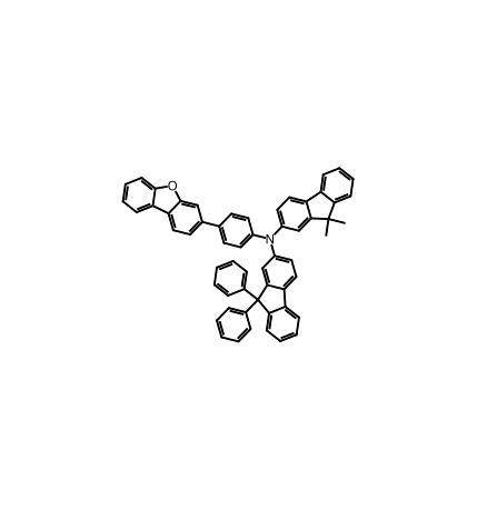 CC1(C)c2ccccc2-c2ccc(N(c3ccc(-c4ccc5c(c4)oc4ccccc45)cc3)c3ccc4c(c3)C(c3ccccc3)(c3ccccc3)c3ccccc3-4)cc21